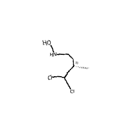 [CH2][C@@H](CNO)C(Cl)Cl